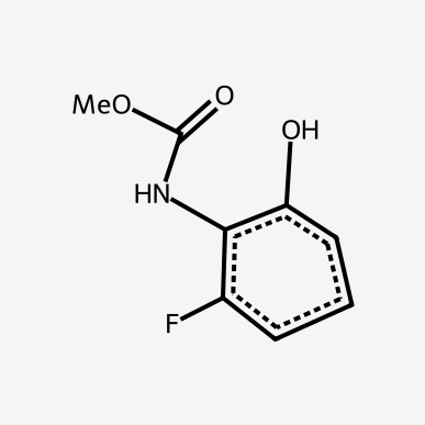 COC(=O)Nc1c(O)cccc1F